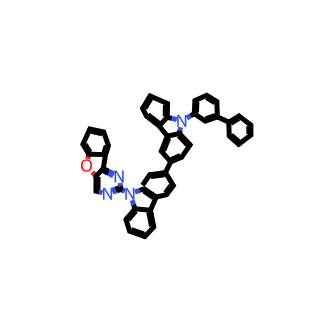 C/C=C(\C=C/c1cn(-c2ncc3oc4ccccc4c3n2)c2ccccc12)c1ccc2c(c1)c1ccccc1n2-c1cccc(-c2ccccc2)c1